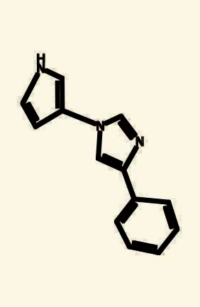 c1ccc(-c2cn(-c3cc[nH]c3)cn2)cc1